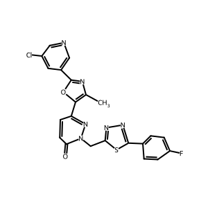 Cc1nc(-c2cncc(Cl)c2)oc1-c1ccc(=O)n(Cc2nnc(-c3ccc(F)cc3)s2)n1